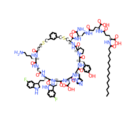 CCCCCCCCCCCCCCCC(=O)N[C@@H](CCC(=O)N[C@@H](CCC(=O)NCC[C@H](NC(=O)[C@@H]1CSCc2cccc(c2)CSCCC(=O)N[C@@H](CCCCN)C(=O)NCC(=O)N[C@@H](CCC2CNc3ccc(F)cc32)C(=O)N[C@@H](CC2CNc3ccc(F)cc32)C(=O)N[C@@H](CC(=O)O)C(=O)N[C@@H](Cc2cnc[nH]2)C(=O)N[C@@H](Cc2ccc(O)cc2)C(=O)N2CCC[C@@]2(C)C(=O)N1)C(N)=O)C(=O)O)C(=O)O